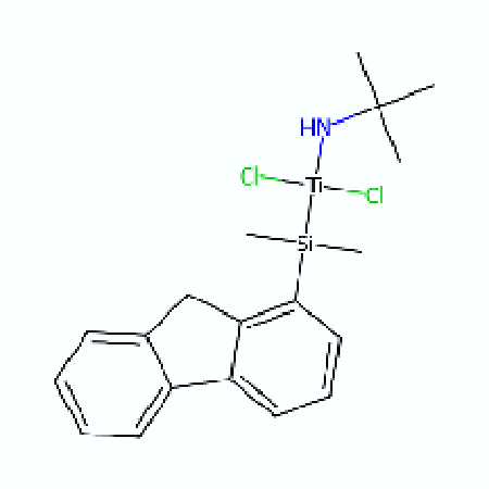 CC(C)(C)[NH][Ti]([Cl])([Cl])[Si](C)(C)c1cccc2c1Cc1ccccc1-2